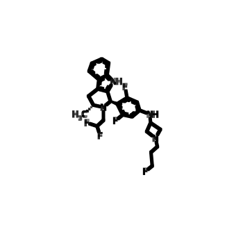 C[C@@H]1Cc2c([nH]c3ccccc23)[C@@H](c2c(F)cc(NC3CN(CCCF)C3)cc2F)N1CC(F)F